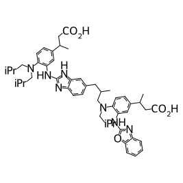 CC(C)CN(CC(C)C)c1ccc(C(C)CC(=O)O)cc1Nc1nc2ccc(CC(C)CN(CC(C)C)c3ccc(C(C)CC(=O)O)cc3Nc3nc4ccccc4o3)cc2[nH]1